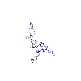 COc1cc(C(=O)N2CCNCC2)ccc1Cn1ncc2nc(N)nc(NCC3CC4(CC4)C3)c21